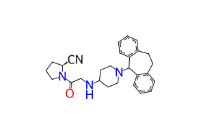 N#C[C@@H]1CCCN1C(=O)CNC1CCN(C2c3ccccc3CCc3ccccc32)CC1